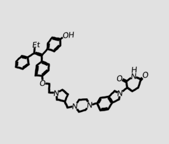 CC/C(=C(\c1ccc(O)cc1)c1ccc(OCCN2CCC(CN3CCN(c4ccc5c(c4)CN(C4CCC(=O)NC4=O)C5)CC3)C2)cc1)c1ccccc1